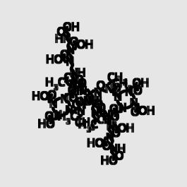 CC(C)CN(CC(=O)NCC(CNC(=O)CN(CC(C)C)C(=O)CNCCN(CCN(CCNCC(=O)O)CC(=O)O)CC(=O)O)(CNC(=O)CN(CC(C)C)C(=O)CN1CCN(CC(=O)O)CCN(CC(=O)O)CCN(CC(=O)O)CC1)CNC(=O)CN(CC(C)C)C(=O)CN1CCN(CC(=O)O)CCN(CC(=O)O)CCN(CC(=O)O)CC1)C(=O)CNCCN(CCN(CCNCC(=O)O)CC(=O)O)CC(=O)O